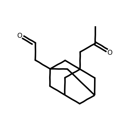 CC(=O)CC12CC3CC(CC(CC=O)(C3)C1)C2